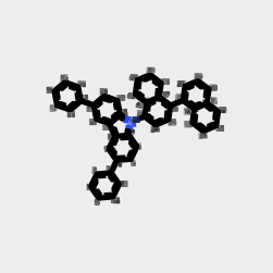 c1ccc(-c2ccc3c(c2)c2cc(-c4ccccc4)ccc2n3-c2ccc(-c3cccc4ccccc34)c3ccccc23)cc1